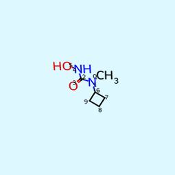 CN(C(=O)NO)C1CCC1